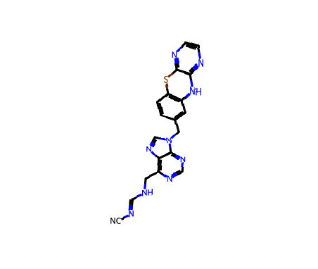 N#CN=CNCc1ncnc2c1ncn2Cc1ccc2c(c1)Nc1nccnc1S2